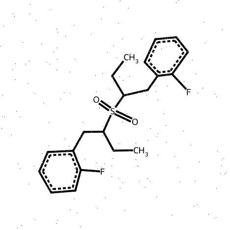 CCC(Cc1ccccc1F)S(=O)(=O)C(CC)Cc1ccccc1F